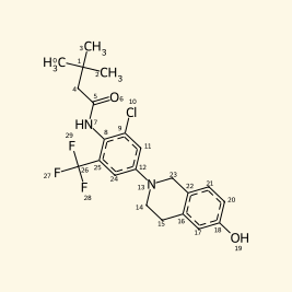 CC(C)(C)CC(=O)Nc1c(Cl)cc(N2CCc3cc(O)ccc3C2)cc1C(F)(F)F